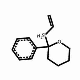 C=C[SiH2]C1(c2ccccc2)CCCCO1